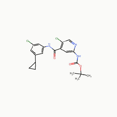 CC(C)(C)OC(=O)Nc1cc(C(=O)Nc2cc(Cl)cc(C3CC3)c2)c(Cl)cn1